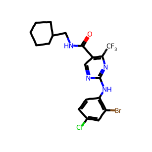 O=C(NCC1CCCCC1)c1cnc(Nc2ccc(Cl)cc2Br)nc1C(F)(F)F